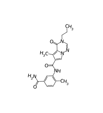 CCCn1cnn2cc(C(=O)Nc3cc(C(N)=O)ccc3C)c(C)c2c1=O